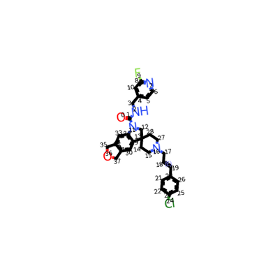 O=C(NCc1ccnc(F)c1)N1CC2(CCN(C/C=C/c3ccc(Cl)cc3)CC2)c2cc3c(cc21)COC3